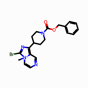 C[N+]12C=CN=CC1=C(C1CCN(C(=O)OCc3ccccc3)CC1)N=C2Br